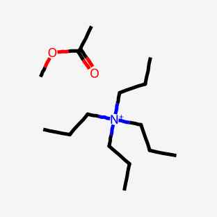 CCC[N+](CCC)(CCC)CCC.COC(C)=O